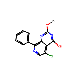 CCOc1nc(O)c2c(Cl)cnc(-c3ccccc3)c2n1